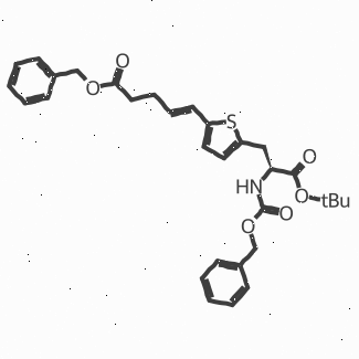 CC(C)(C)OC(=O)[C@H](Cc1ccc(C=CCCC(=O)OCc2ccccc2)s1)NC(=O)OCc1ccccc1